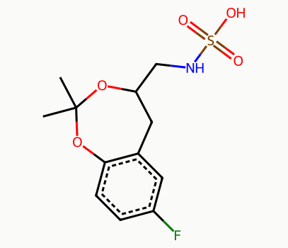 CC1(C)Oc2ccc(F)cc2CC(CNS(=O)(=O)O)O1